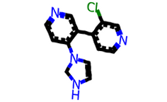 Clc1cnccc1-c1cnccc1N1C=CNC1